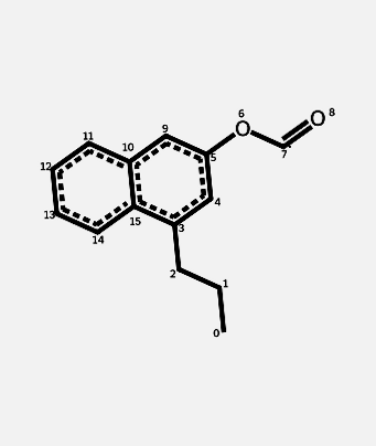 CCCc1cc(O[C]=O)cc2ccccc12